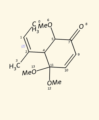 C/C=C(/C)C1C(OC)C(=O)C=CC1(OC)OC